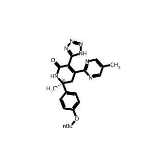 CCCCOc1ccc([C@]2(C)CC(c3ncc(C)cn3)=C(c3nnn[nH]3)C(=O)N2)cc1